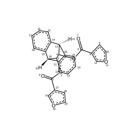 O=C(OC1C(OC(=O)c2ccoc2)[C@H]2c3ccccc3[C@H]1c1ccccc12)c1ccoc1